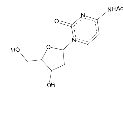 CC(=O)Nc1ccn(C2CC(O)C(CO)O2)c(=O)n1